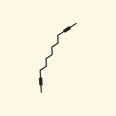 CC#CCCCCCCCC#CC